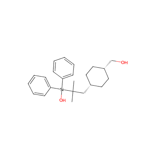 CC(C)(C[C@H]1CC[C@@H](CO)CC1)[Si](O)(c1ccccc1)c1ccccc1